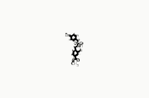 COC(=O)c1ccc(CNS(=O)(=O)Cc2ccc(Br)cc2)c(F)c1